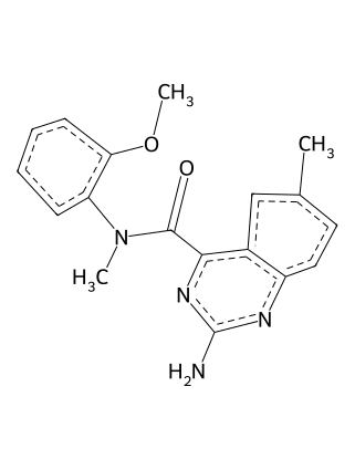 COc1ccccc1N(C)C(=O)c1nc(N)nc2ccc(C)cc12